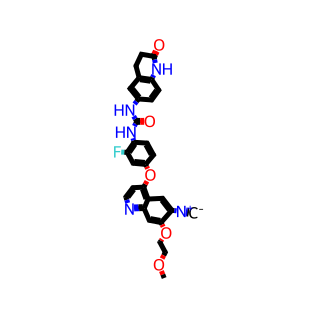 [C-]#[N+]c1cc2c(Oc3ccc(NC(=O)Nc4ccc5c(c4)CCC(=O)N5)c(F)c3)ccnc2cc1OCCOC